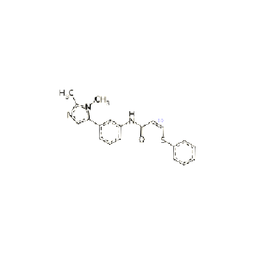 Cc1ncc(-c2cccc(NC(=O)/C=C\Sc3ccccc3)c2)n1C